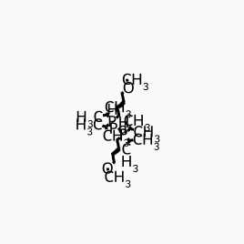 COCC=CC[PH]([Pd][PH](CC=CCOC)(C(C)C)C(C)C)(C(C)C)C(C)C